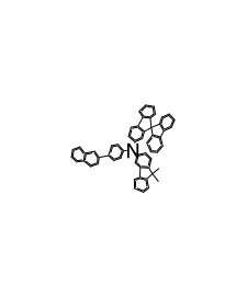 CC1(C)c2ccccc2-c2cc(N(c3ccc(-c4ccc5ccccc5c4)cc3)c3ccc4c(c3)C3(c5ccccc5-c5ccccc53)c3ccccc3-4)ccc21